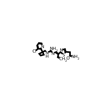 C=C/C(=C\N=C(/N)NCC1(c2ncccc2Cl)CCC1)c1ncc(CC(N)=O)s1